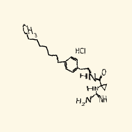 CCCCCCCCc1ccc(CNC(=O)C2(NC(=N)N)CC2)cc1.Cl